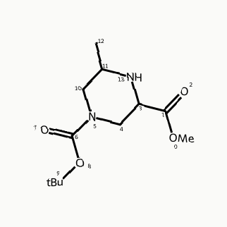 COC(=O)C1CN(C(=O)OC(C)(C)C)CC(C)N1